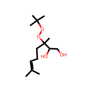 CC(C)=CCCC(C)(OOC(C)(C)C)C(O)CO